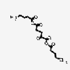 CCCCC(=O)OC(=O)CCC(=O)C(=O)OC(=O)CCCC